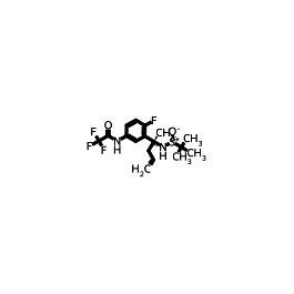 C=CC[C@](C)(N[S@+]([O-])C(C)(C)C)c1cc(NC(=O)C(F)(F)F)ccc1F